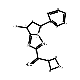 C=C(c1nc2n(n1)C(c1ccccc1)CC2F)C1COC1